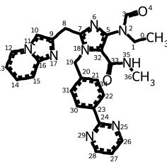 CCN(C=O)c1nc(Cc2cn3ccccc3n2)n(Cc2ccc(-c3ncccn3)cc2)c1C(=O)NC